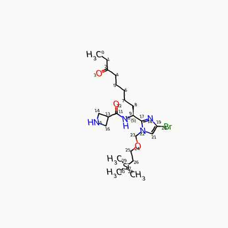 CCC(=O)CCCCC[C@H](NC(=O)C1CNC1)c1nc(Br)cn1COCC[Si](C)(C)C